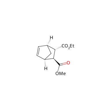 CCOC(=O)[C@@H]1[C@@H](C(=O)OC)[C@H]2C=C[C@@H]1C2